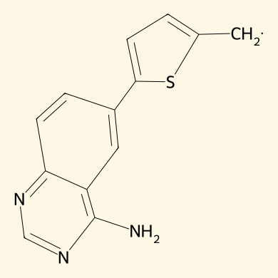 [CH2]c1ccc(-c2ccc3ncnc(N)c3c2)s1